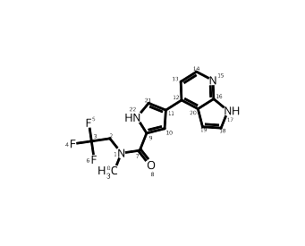 CN(CC(F)(F)F)C(=O)c1cc(-c2ccnc3[nH]ccc23)c[nH]1